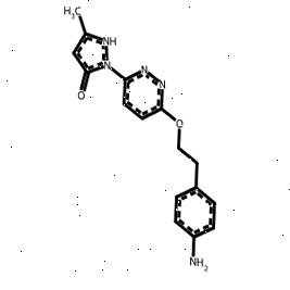 Cc1cc(=O)n(-c2ccc(OCCc3ccc(N)cc3)nn2)[nH]1